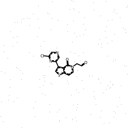 O=CCn1ccc2scc(-c3cncc(Cl)n3)c2c1=O